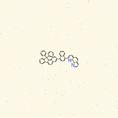 c1ccc(C2(c3ccccc3)c3ccccc3-c3ccc4cc(-c5ccc(-c6ccc7ccc8cccnc8c7n6)c6ccccc56)ccc4c32)cc1